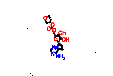 Nc1ncnn2c([C@@H]3O[C@H](COC(=O)OC4CCOCC4)[C@@H](O)[C@H]3O)ccc12